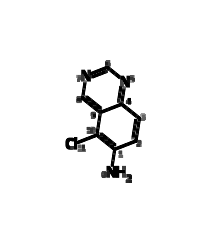 Nc1ccc2ncncc2c1Cl